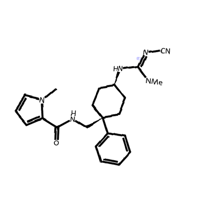 CN/C(=N\C#N)N[C@H]1CC[C@](CNC(=O)c2cccn2C)(c2ccccc2)CC1